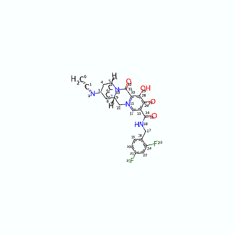 C=C=NC1C[C@H]2CCC1[C@H]1Cn3cc(C(=O)NCc4ccc(F)cc4F)c(=O)c(O)c3C(=O)N21